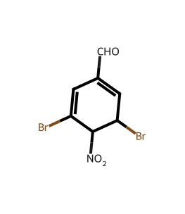 O=CC1=CC(Br)C([N+](=O)[O-])C(Br)=C1